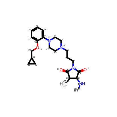 CC(C)NC1C(=O)N(CCCN2CCN(c3ccccc3OCC3CC3)CC2)C(=O)C1C